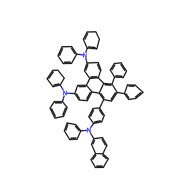 C1=CCCC(N(c2ccccc2)c2ccc3c(c2)c2cc(N(C4=CCCC=C4)c4ccccc4)ccc2c2c(-c4ccccc4)c(-c4ccccc4)cc(-c4ccc(N(c5ccccc5)c5ccc6ccccc6c5)cc4)c32)=C1